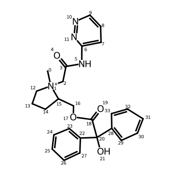 C[N+]1(CC(=O)Nc2cccnn2)CCCC1COC(=O)C(O)(c1ccccc1)c1ccccc1